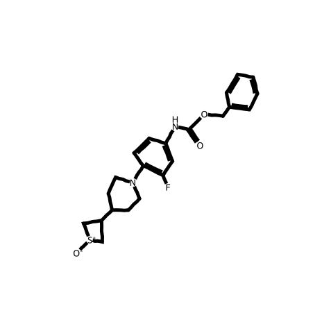 O=C(Nc1ccc(N2CCC(C3C[S+]([O-])C3)CC2)c(F)c1)OCc1ccccc1